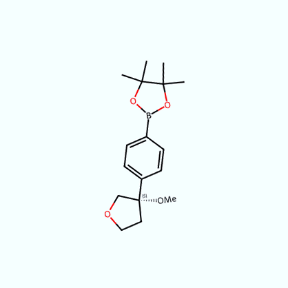 CO[C@]1(c2ccc(B3OC(C)(C)C(C)(C)O3)cc2)CCOC1